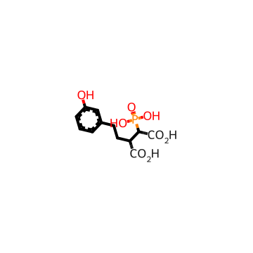 O=C(O)C(CCc1cccc(O)c1)C(C(=O)O)P(=O)(O)O